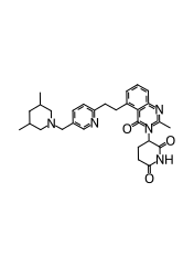 Cc1nc2cccc(CCc3ccc(CN4CC(C)CC(C)C4)cn3)c2c(=O)n1C1CCC(=O)NC1=O